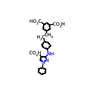 Cc1cc(C(=O)O)cc(C(=O)O)c1.Cc1ccc(Nc2nn(-c3ccccc3)cc2C(=O)O)cc1